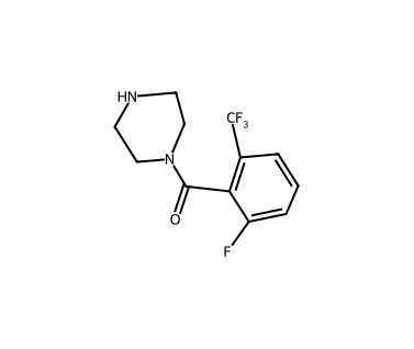 O=C(c1c(F)cccc1C(F)(F)F)N1CCNCC1